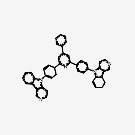 C1=Cc2c(c3cnccc3n2-c2ccc(-c3cc(-c4ccccc4)cc(C4C=CC(n5c6ccccc6c6cnccc65)=CC4)n3)cc2)CC1